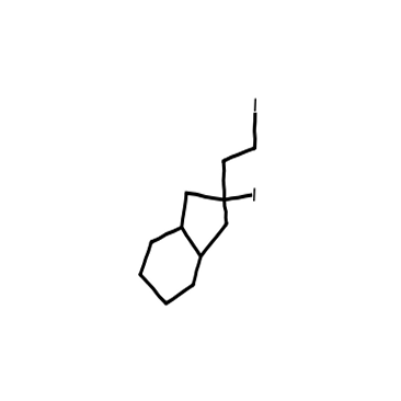 ICCC1(I)CC2CCCCC2C1